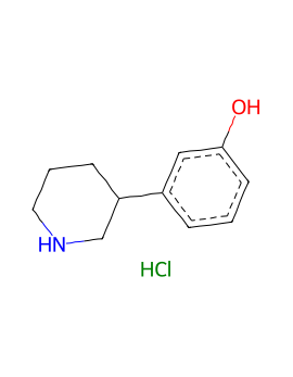 Cl.Oc1cccc(C2CCCNC2)c1